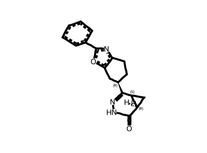 O=C1NN=C([C@@H]2CCc3nc(-c4ccccc4)oc3C2)[C@H]2C[C@@H]12